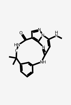 CNc1cc2nc3c(cnn13)C(=O)NCC(C)(C)c1cccc(c1)N2